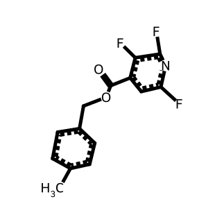 Cc1ccc(COC(=O)c2cc(F)nc(F)c2F)cc1